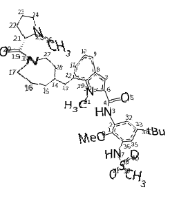 COc1c(NC(=O)c2cc3cccc(CC4CCCN(C(=O)[C@@H]5CCCN5C)CC4)c3n2C)cc(C(C)(C)C)cc1NS(C)(=O)=O